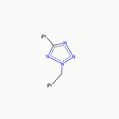 CC(C)Cn1nnc(C(C)C)n1